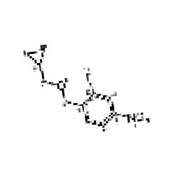 O=[N+]([O-])c1ccc(COCC2CC2)c(F)c1